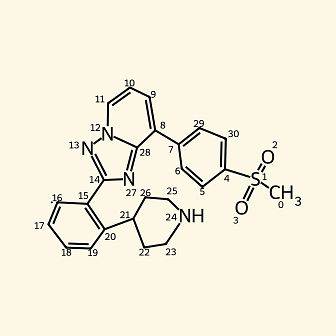 CS(=O)(=O)c1ccc(-c2cccn3nc(-c4[c]cccc4C4CCNCC4)nc23)cc1